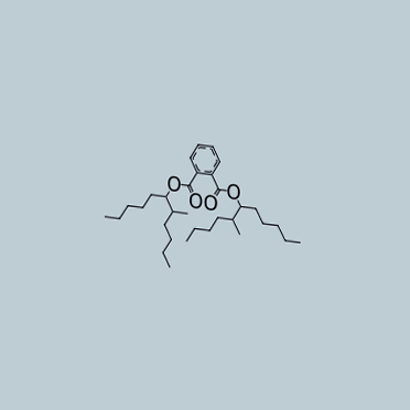 CCCCCC(OC(=O)c1ccccc1C(=O)OC(CCCCC)C(C)CCCC)C(C)CCCC